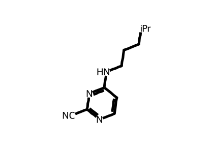 CC(C)CCCNc1ccnc(C#N)n1